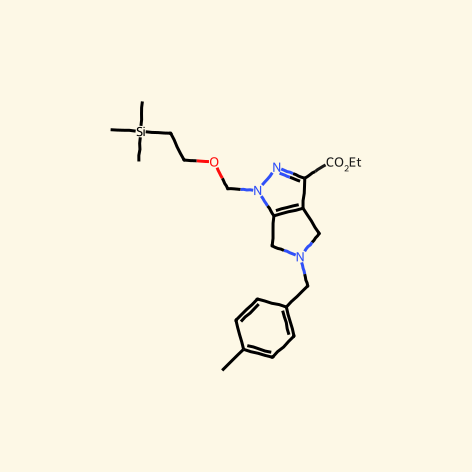 CCOC(=O)c1nn(COCC[Si](C)(C)C)c2c1CN(Cc1ccc(C)cc1)C2